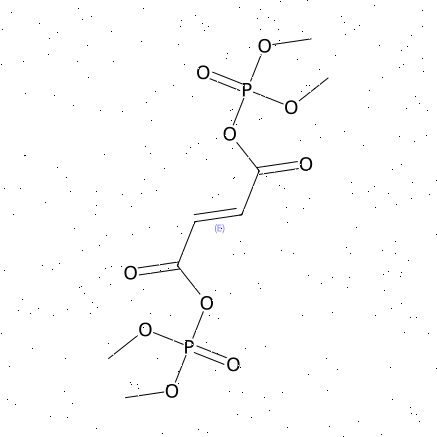 COP(=O)(OC)OC(=O)/C=C/C(=O)OP(=O)(OC)OC